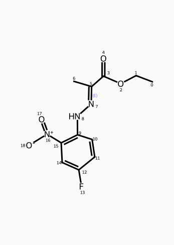 CCOC(=O)/C(C)=N/Nc1ccc(F)cc1[N+](=O)[O-]